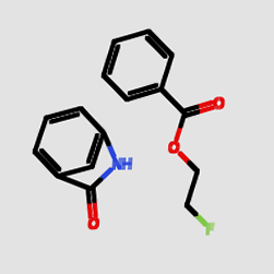 O=C(OCCF)c1ccccc1.O=C1Nc2cccc1c2